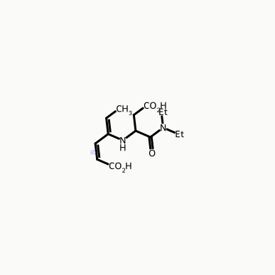 CC=C(/C=C\C(=O)O)NC(CC(=O)O)C(=O)N(CC)CC